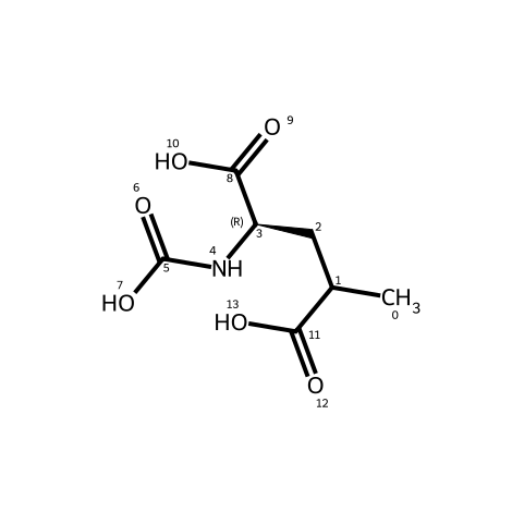 CC(C[C@@H](NC(=O)O)C(=O)O)C(=O)O